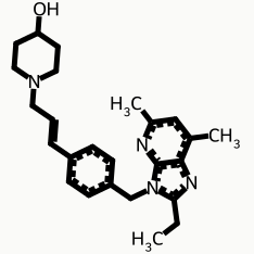 CCc1nc2c(C)cc(C)nc2n1Cc1ccc(C=CCN2CCC(O)CC2)cc1